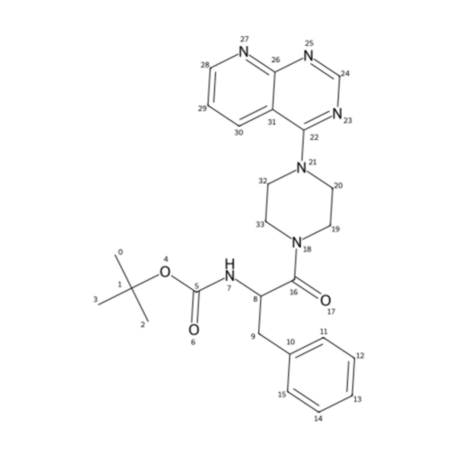 CC(C)(C)OC(=O)NC(Cc1ccccc1)C(=O)N1CCN(c2ncnc3ncccc23)CC1